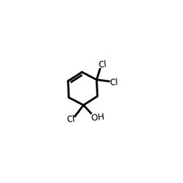 OC1(Cl)CC=CC(Cl)(Cl)C1